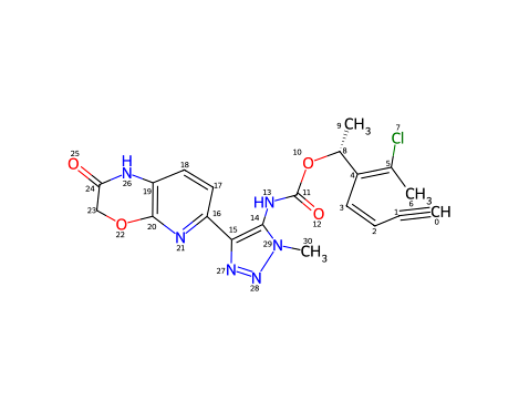 C#C/C=C\C(=C(/C)Cl)[C@@H](C)OC(=O)Nc1c(-c2ccc3c(n2)OCC(=O)N3)nnn1C